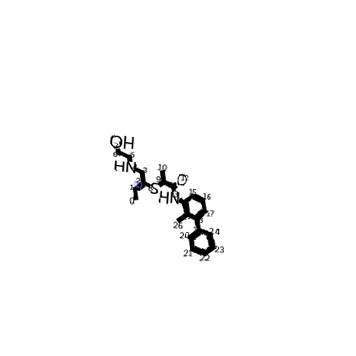 C/C=C(/CNCCO)SC(C)C(=O)Nc1cccc(-c2ccccc2)c1C